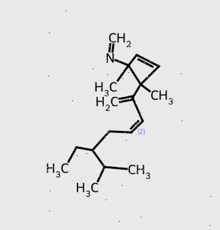 C=NC1(C)C=CC1(C)C(=C)/C=C\CC(CC)C(C)C